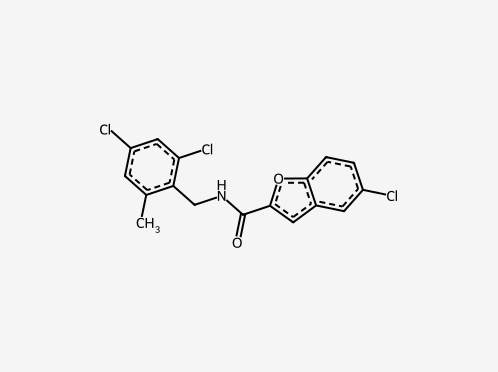 Cc1cc(Cl)cc(Cl)c1CNC(=O)c1cc2cc(Cl)ccc2o1